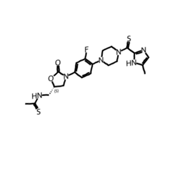 CC(=S)NC[C@H]1CN(c2ccc(N3CCN(C(=S)c4ncc(C)[nH]4)CC3)c(F)c2)C(=O)O1